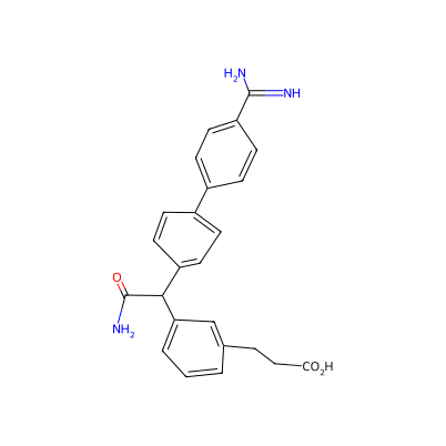 N=C(N)c1ccc(-c2ccc(C(C(N)=O)c3cccc(CCC(=O)O)c3)cc2)cc1